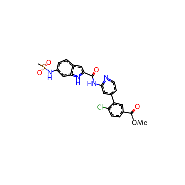 COC(=O)c1ccc(Cl)c(-c2ccnc(NC(=O)c3cc4ccc(NS(C)(=O)=O)cc4[nH]3)c2)c1